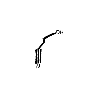 N#C[CH]O